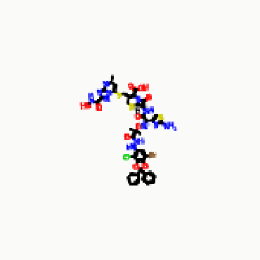 Cc1cc(SCC2=C(C(=O)O)N3C(=O)[C@@H](NC(=O)/C(=N\OC(C)(C)C(=O)NNc4cc(Br)c5c(c4Cl)OC(c4ccccc4)(c4ccccc4)O5)c4csc(N)n4)[C@H]3SC2)n2nc(C(=O)NO)nc2n1